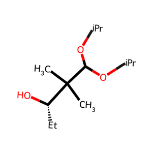 CC[C@H](O)C(C)(C)C(OC(C)C)OC(C)C